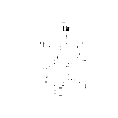 O=c1[nH]nc(Br)c2c(F)c(Br)ccc12